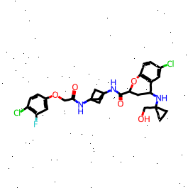 O=C(COc1ccc(Cl)c(F)c1)NC12CC(NC(=O)C3CC(NC4(CO)CC4)c4cc(Cl)ccc4O3)(C1)C2